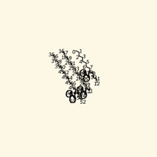 CCCCCCCCC(CCCC)[N+](=O)[O-].CCCCCCCCCCCCCCC(C)[N+](=O)[O-].CCCCCCCCCCCCCCC(CCC)[N+](=O)[O-]